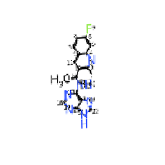 CC[C@@H](C)Cc1nc2cc(F)ccc2cc1[C@H](C)Nc1ncnc2[nH]cnc12